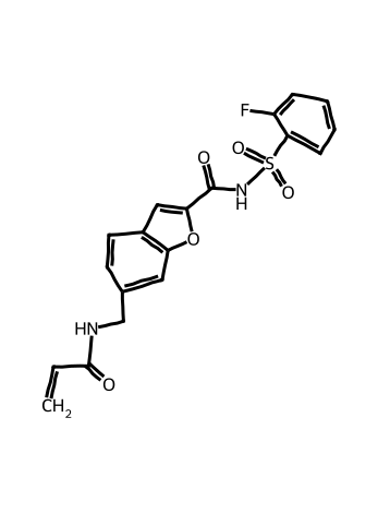 C=CC(=O)NCc1ccc2cc(C(=O)NS(=O)(=O)c3ccccc3F)oc2c1